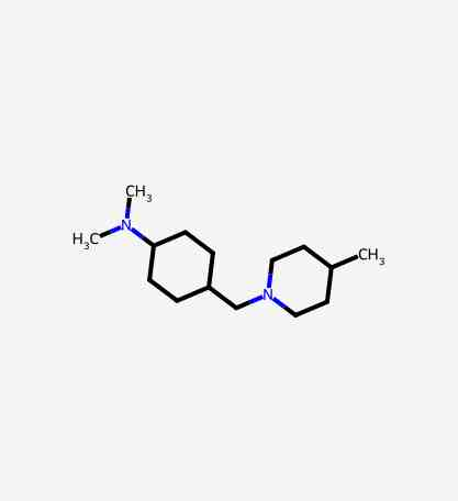 CC1CCN(CC2CCC(N(C)C)CC2)CC1